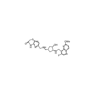 COc1ccc2ncc(F)c(CN[C@H]3C[C@@H](CNCc4cnc5c(n4)NC(=O)CS5)C[C@H]3O)c2n1